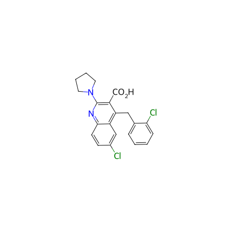 O=C(O)c1c(N2CCCC2)nc2ccc(Cl)cc2c1Cc1ccccc1Cl